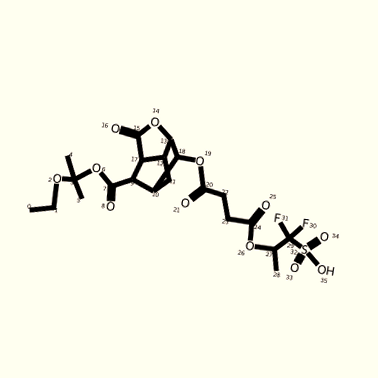 CCOC(C)(C)OC(=O)C1C2CC3C(OC(=O)C31)C2OC(=O)CCC(=O)OC(C)C(F)(F)S(=O)(=O)O